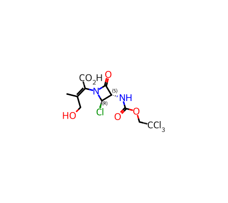 CC(CO)=C(C(=O)O)N1C(=O)[C@H](NC(=O)OCC(Cl)(Cl)Cl)[C@H]1Cl